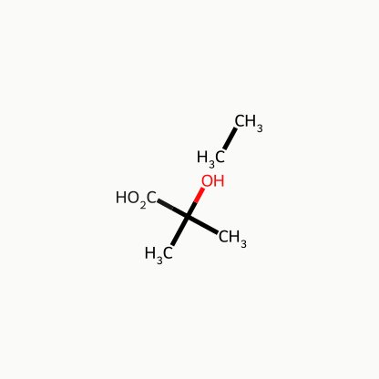 CC.CC(C)(O)C(=O)O